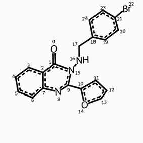 O=c1c2ccccc2nc(-c2ccco2)n1NCc1ccc(Br)cc1